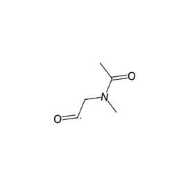 CC(=O)N(C)C[C]=O